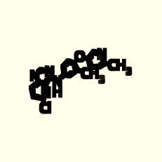 Cc1ccc(Oc2ccc(Nc3ncnc4ccc(Cl)nc34)cc2C)cn1